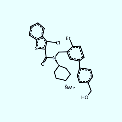 CCc1ccc(-c2ccc(CO)cc2)cc1CN(C(=O)c1sc2ccccc2c1Cl)[C@H]1CC[C@H](NC)CC1